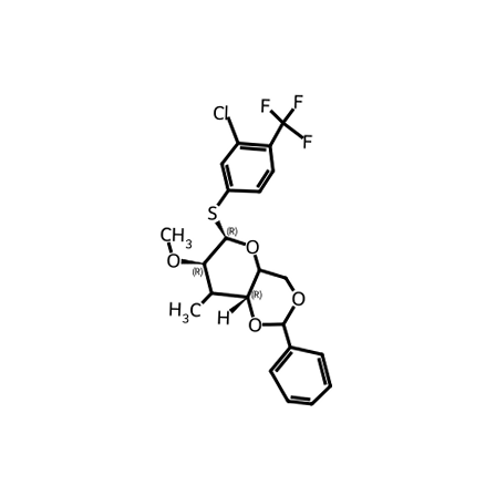 CO[C@@H]1C(C)[C@H]2OC(c3ccccc3)OCC2O[C@@H]1Sc1ccc(C(F)(F)F)c(Cl)c1